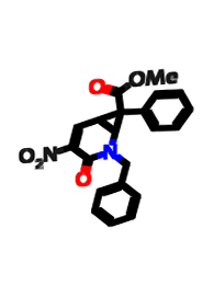 COC(=O)C1(c2ccccc2)C2C=C([N+](=O)[O-])C(=O)N(Cc3ccccc3)C21